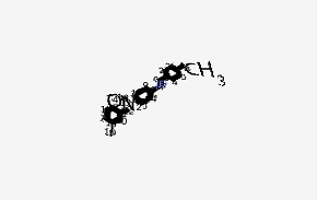 CCc1ccc(/C=C/c2ccc(N3COc4ccc(I)cc4C3)cc2)cc1